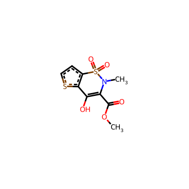 COC(=O)C1=C(O)c2sccc2S(=O)(=O)N1C